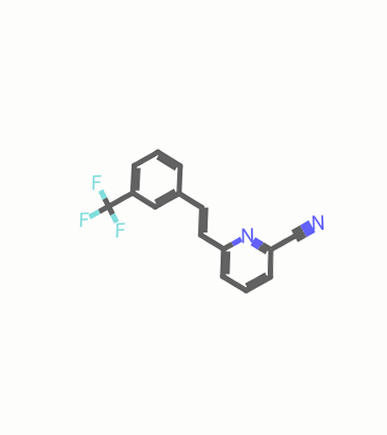 N#Cc1cccc(/C=C/c2cccc(C(F)(F)F)c2)n1